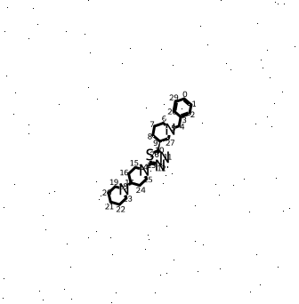 c1ccc(CN2CCC[C@H](c3nnc(N4CCC(N5CCCCC5)CC4)s3)C2)cc1